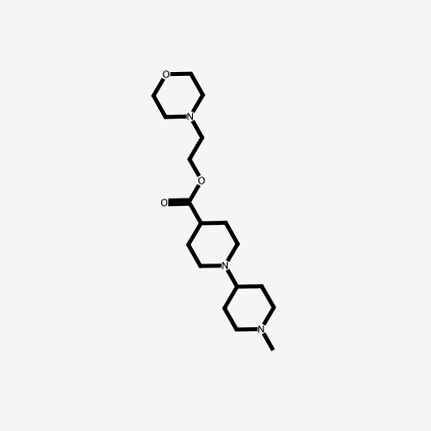 CN1CCC(N2CCC(C(=O)OCCN3CCOCC3)CC2)CC1